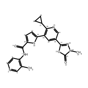 Cc1cnccc1NC(=O)c1ccc(-c2cc(-c3nn(C)c(=O)o3)cnc2C2CC2)s1